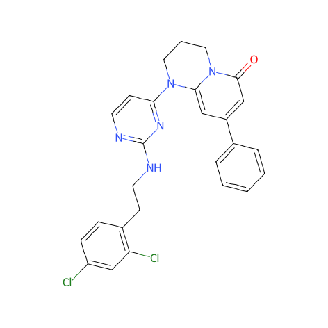 O=c1cc(-c2ccccc2)cc2n1CCCN2c1ccnc(NCCc2ccc(Cl)cc2Cl)n1